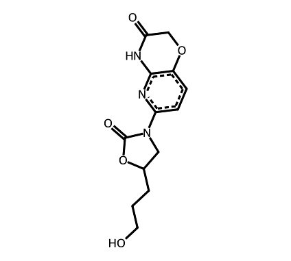 O=C1COc2ccc(N3CC(CCCO)OC3=O)nc2N1